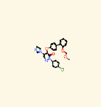 COCOc1ccccc1-c1ccc(Oc2c(-n3ccnc3)cnn(-c3ccc(Cl)cc3)c2=O)cc1